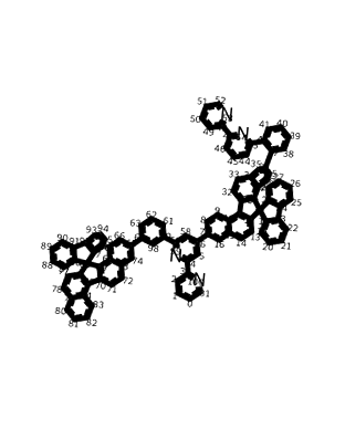 c1ccc(-c2cc(-c3ccc4c5c(ccc4c3)C3(c4ccccc4-c4ccccc43)c3c-5ccc4cc(-c5ccccc5-c5cccc(-c6ccccn6)n5)ccc34)cc(-c3cccc(-c4ccc5c6c(ccc5c4)-c4c(ccc5ccccc45)C64c5ccccc5-c5ccccc54)c3)n2)nc1